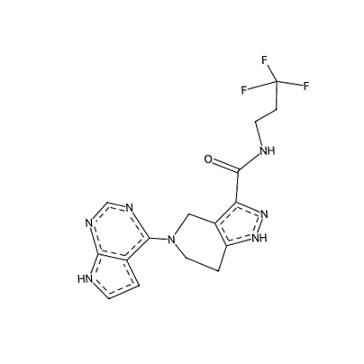 O=C(NCCC(F)(F)F)c1n[nH]c2c1CN(c1ncnc3[nH]ccc13)CC2